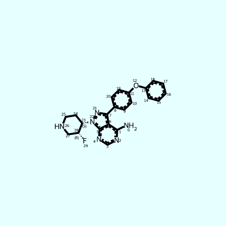 Nc1ncnc2c1c(-c1ccc(Oc3ccccc3)cc1)nn2[C@H]1CCNC[C@H]1F